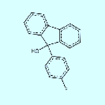 OC1(c2ccc(F)cc2)c2ccccc2-c2ccccc21